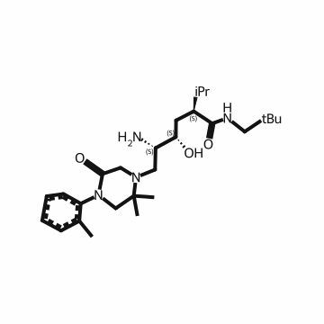 Cc1ccccc1N1CC(C)(C)N(C[C@H](N)[C@@H](O)C[C@H](C(=O)NCC(C)(C)C)C(C)C)CC1=O